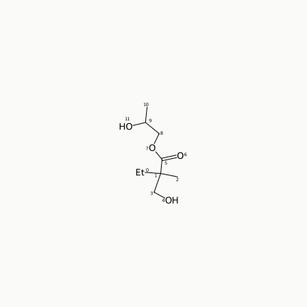 CCC(C)(CO)C(=O)OCC(C)O